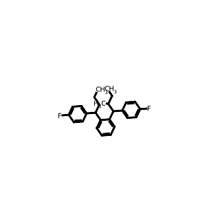 CCCC(c1ccc(F)cc1)c1ccccc1C(c1ccc(F)cc1)C(C)CC